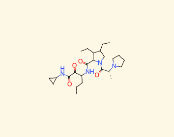 CCCC(NC(=O)C1C(CC)C(CC)CN1C(=O)[C@@H](C)N1CCCC1)C(=O)C(=O)NC1CC1